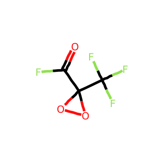 O=C(F)C1(C(F)(F)F)OO1